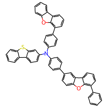 c1ccc(-c2cccc3c2oc2ccc(-c4ccc(N(c5ccc(-c6cccc7c6oc6ccccc67)cc5)c5ccc6c(c5)sc5ccccc56)cc4)cc23)cc1